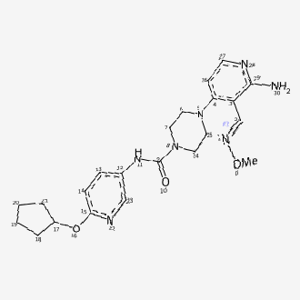 CO/N=C/c1c(N2CCN(C(=O)Nc3ccc(OC4CCCC4)nc3)CC2)ccnc1N